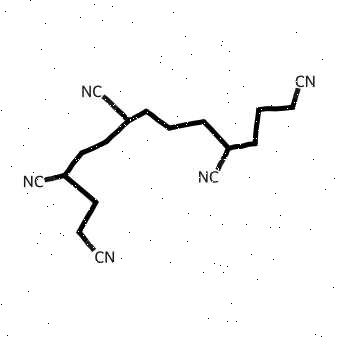 N#CCCCC(C#N)CCCC(C#N)CCC(C#N)CCC#N